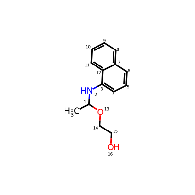 CC(Nc1cccc2ccccc12)OCCO